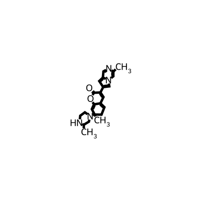 Cc1cn2cc(-c3cc4c(oc3=O)=CC(C)(N3CCNC(C)C3)CC=4)cc2cn1